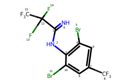 N=C(Nc1c(Br)cc(C(F)(F)F)cc1Br)C(F)(F)C(F)(F)F